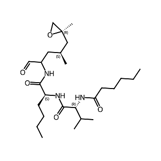 CCCCCC(=O)N[C@@H](C(=O)N[C@@H](CCCC)C(=O)NC(C=O)C[C@H](C)C[C@]1(C)CO1)C(C)C